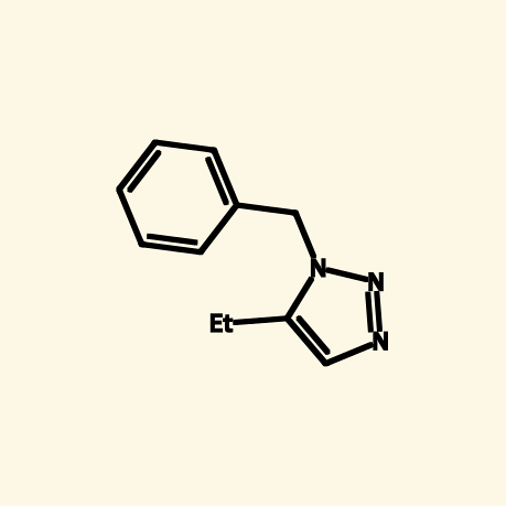 [CH2]Cc1cnnn1Cc1ccccc1